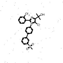 CC(C)(O)c1nc(-c2ccccc2C(F)(F)F)n(-c2ccc(-c3cccc(S(C)(=O)=O)c3)cc2)c1Cl